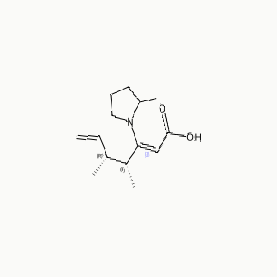 C=C[C@@H](C)[C@@H](C)/C(=C/C(=O)O)N1CCCC1C